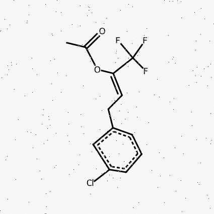 CC(=O)OC(=CCc1cccc(Cl)c1)C(F)(F)F